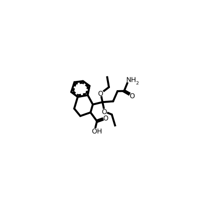 CCOC(CCC(N)=O)(OCC)C1c2ccccc2CCC1C(=O)O